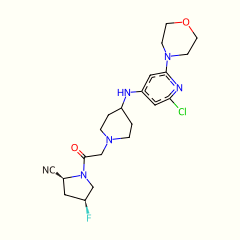 N#C[C@@H]1C[C@H](F)CN1C(=O)CN1CCC(Nc2cc(Cl)nc(N3CCOCC3)c2)CC1